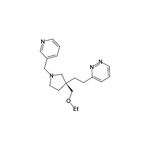 CCOC[C@@]1(CCc2cccnn2)CCN(Cc2cccnc2)C1